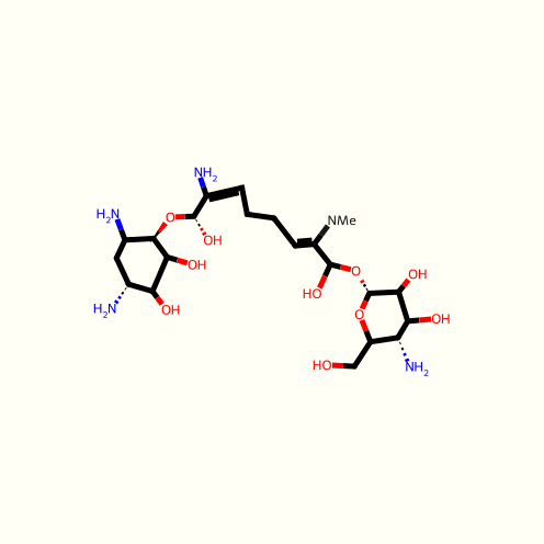 CN/C(=C\CC/C=C(/N)[C@H](O)O[C@@H]1C(N)C[C@@H](N)C(O)C1O)C(O)O[C@H]1OC(CO)[C@@H](N)C(O)C1O